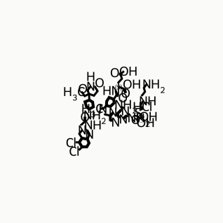 CCC1(c2ccc(N)cc2)CCC(=O)NC1=O.CN(Cc1cnc2nc(N)nc(N)c2n1)c1ccc(C(=O)N[C@@H](CCC(=O)O)C(=O)O)cc1.Cl.NCCCNCCSP(=O)(O)O.O=C1CN2Cc3c(ccc(Cl)c3Cl)N=C2N1